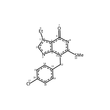 CCn1cnc2c1c(=O)nc(SC)n2Cc1ccc(Cl)cc1